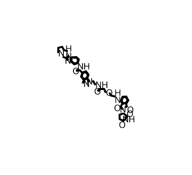 CC1CCCN1Cc1nc2cc(NC(=O)c3ccc4c(cnn4CCNC(=O)CCOCCNc4cccc5c4C(=O)N(C4CCC(=O)NC4=O)C5=O)c3)ccc2[nH]1